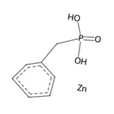 O=P(O)(O)Cc1ccccc1.[Zn]